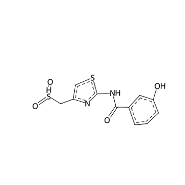 O=C(Nc1nc(C[SH](=O)=O)cs1)c1cccc(O)c1